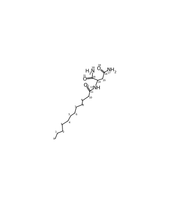 CCCCCCCCCCCC(=O)NC(CC(N)=O)C(N)=O